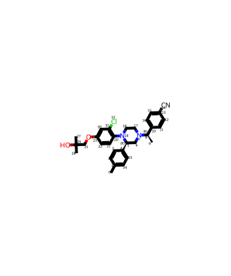 Cc1ccc([C@@H]2CN([C@H](C)c3ccc(C#N)cc3)CCN2c2ccc(OCC(C)(C)O)cc2Cl)cc1